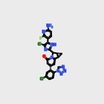 Nc1ccc(-c2[nH]c(C3C4CC4c4cc(-c5cc(Cl)ccc5-n5cnnn5)cc(=O)n43)nc2Cl)c(F)n1